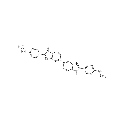 CNc1ccc(-c2nc3cc(-c4ccc5[nH]c(-c6ccc(NC)cc6)nc5c4)ccc3[nH]2)cc1